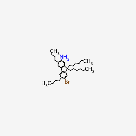 CCCCCCC1(CCCCCC)c2cc(N)c(CCCC)cc2-c2cc(CCCC)c(Br)cc21